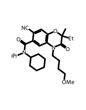 CCC1(C)Oc2cc(C#N)c(C(=O)N(C(C)C)C3CCCCC3)cc2N(CCCCOC)C1=O